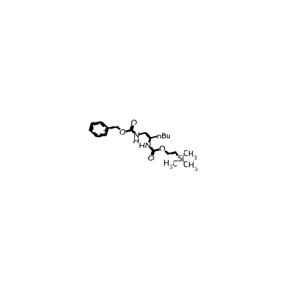 CCCCC(CNC(=O)OCc1ccccc1)NC(=O)OCC[Si](C)(C)C